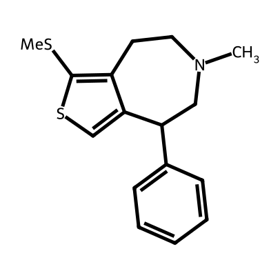 CSc1scc2c1CCN(C)CC2c1ccccc1